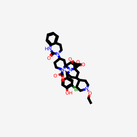 CCON1CCC(C2CCN(C3(CC=O)CC(N4CCc5ccccc5NC4=O)CC[N@+]3(Cc3ccc(O)c(Br)c3)C(=O)[O-])C3(C2)C(=O)C3=O)CC1